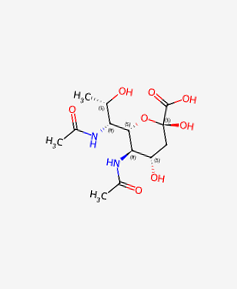 CC(=O)N[C@@H]([C@@H]1O[C@](O)(C(=O)O)C[C@H](O)[C@H]1NC(C)=O)[C@H](C)O